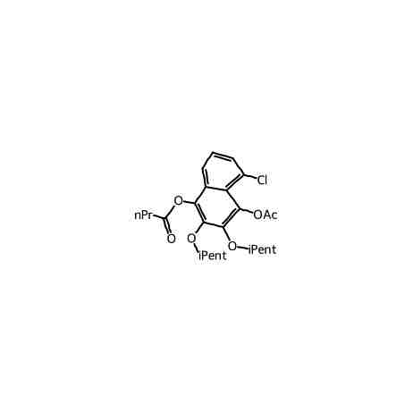 CCCC(=O)Oc1c(OC(C)CCC)c(OC(C)CCC)c(OC(C)=O)c2c(Cl)cccc12